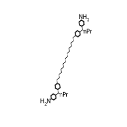 CCCC(c1ccc(N)cc1)c1ccc(CCCCCCCCCCCCCCCCCc2ccc(C(CCC)c3ccc(N)cc3)cc2)cc1